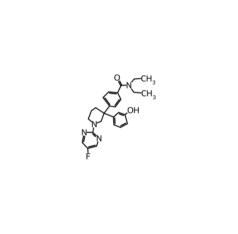 CCN(CC)C(=O)c1ccc(C2(c3cccc(O)c3)CCCN(c3ncc(F)cn3)C2)cc1